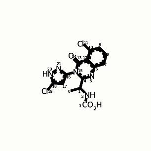 CC(NC(=O)O)c1nc2cccc(Cl)c2c(=O)n1-c1cc(Cl)[nH]n1